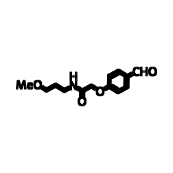 COCCCNC(=O)COc1ccc(C=O)cc1